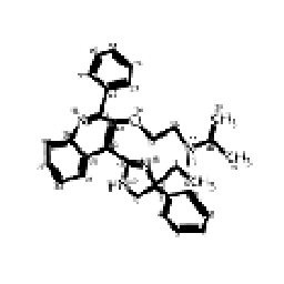 CCC1(c2ccccc2)CNC(c2c(OCCNC(C)C)c(-c3ccccc3)nc3ccccc23)=N1